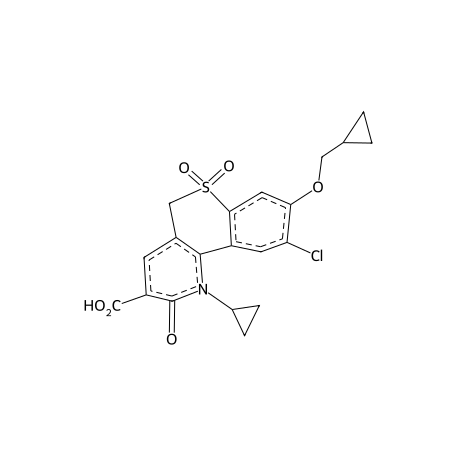 O=C(O)c1cc2c(n(C3CC3)c1=O)-c1cc(Cl)c(OCC3CC3)cc1S(=O)(=O)C2